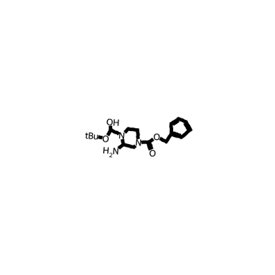 CC(C)(C)OC(O)N1CCN(C(=O)OCc2ccccc2)CC1N